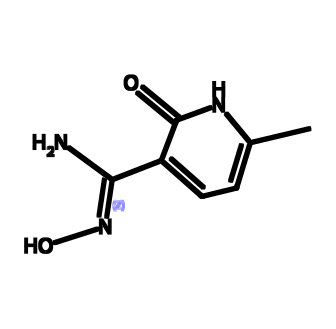 Cc1ccc(/C(N)=N/O)c(=O)[nH]1